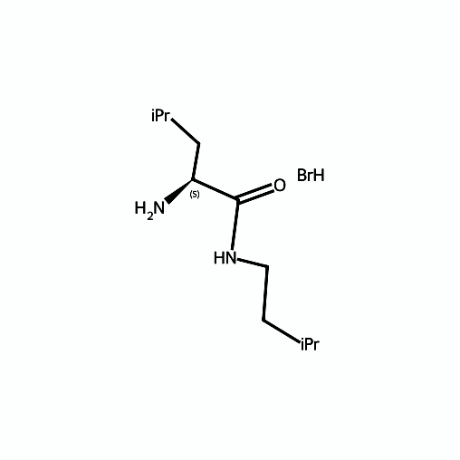 Br.CC(C)CCNC(=O)[C@@H](N)CC(C)C